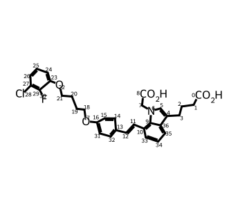 O=C(O)CCCc1cn(CC(=O)O)c2c(C=Cc3ccc(OCCCCOc4cccc(Cl)c4F)cc3)cccc12